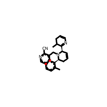 Cc1cccnc1[C@@H]1CC=C[C@H](C2=NC=CCC2C)N1Cc1cccnc1C#N